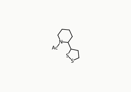 CC(=O)N1CCCCC1C1CCSS1